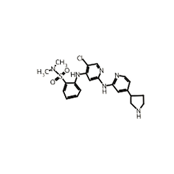 CN(C)S(=O)(=O)c1ccccc1Nc1cc(Nc2cc(C3CCNC3)ccn2)ncc1Cl